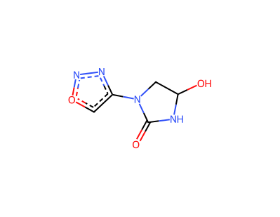 O=C1NC(O)CN1c1conn1